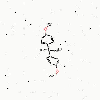 CCCC(c1ccc(OC#N)cc1)(c1ccc(OC#N)cc1)C(C)CC